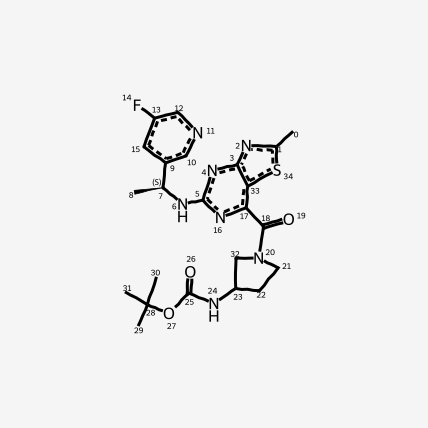 Cc1nc2nc(N[C@@H](C)c3cncc(F)c3)nc(C(=O)N3CCC(NC(=O)OC(C)(C)C)C3)c2s1